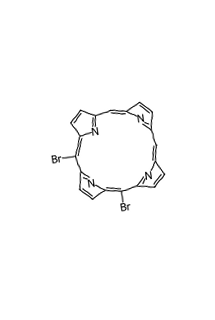 BrC1=C2C=CC(=N2)C=C2C=CC(=N2)C=C2C=CC(=N2)C(Br)=C2C=CC1=N2